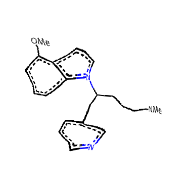 CNCCC(c1cccnc1)n1ccc2c(OC)cccc21